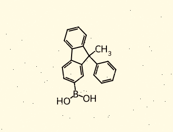 CC1(c2ccccc2)c2ccccc2-c2ccc(B(O)O)cc21